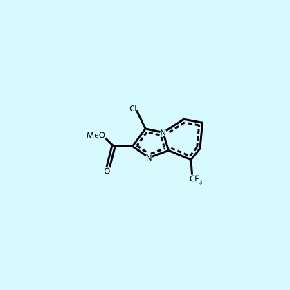 COC(=O)c1nc2c(C(F)(F)F)cccn2c1Cl